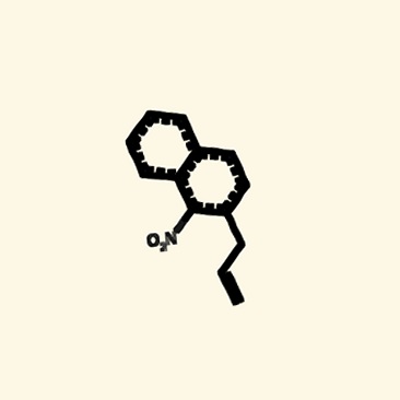 C=CCc1ccc2ccccc2c1[N+](=O)[O-]